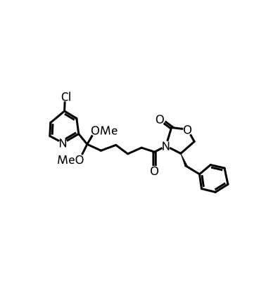 COC(CCCCC(=O)N1C(=O)OC[C@H]1Cc1ccccc1)(OC)c1cc(Cl)ccn1